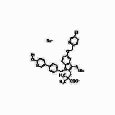 CCOc1ccc(-c2ccc(Cn3c(CC(C)(C)C(=O)[O-])c(SC(C)(C)C)c4cc(OCc5ccc(CC)cn5)ccc43)cc2)cn1.[Na+]